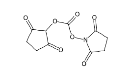 O=C(OC1C(=O)CCC1=O)ON1C(=O)CCC1=O